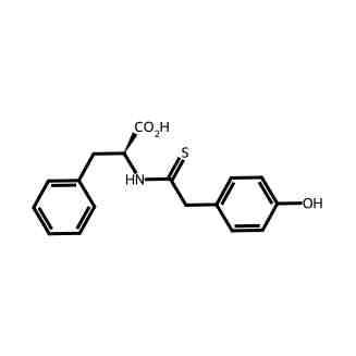 O=C(O)[C@H](Cc1ccccc1)NC(=S)Cc1ccc(O)cc1